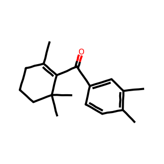 CC1=C(C(=O)c2ccc(C)c(C)c2)C(C)(C)CCC1